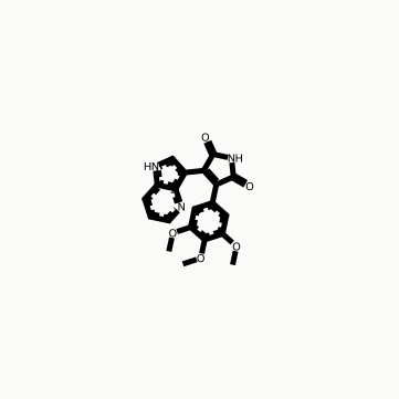 COc1cc(C2=C(c3c[nH]c4cccnc34)C(=O)NC2=O)cc(OC)c1OC